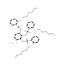 CCCCCCOc1ccccc1C(C)(C)Cc1ccc(O)c(CC(C)(C)c2ccccc2OCCCCCC)c1CC(C)(C)c1ccccc1OCCCCCC